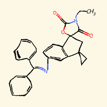 CCN1C(=O)OC2(CC3(CC3)c3cc(N=C(c4ccccc4)c4ccccc4)ccc32)C1=O